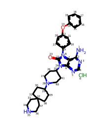 Cl.Nc1ncnc2c1n(-c1ccc(Oc3ccccc3)cc1)c(=O)n2C1CCN(C2CCC3(CCNCC3)CC2)CC1